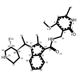 CSc1cc(C)[nH]c(=O)c1CNC(=O)c1c(C)n(C(C)[C@H]2CCNC[C@@H]2F)c2ccccc12